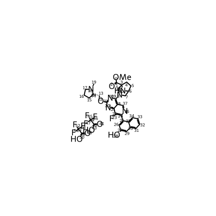 COC(=O)C12CCC(CN(c3nc(OC[C@@H]4CCCN4C)nc4c(F)c(-c5cc(O)cc6ccccc56)ncc34)C1)N2.O=C(O)C(F)(F)F.O=C(O)C(F)(F)F